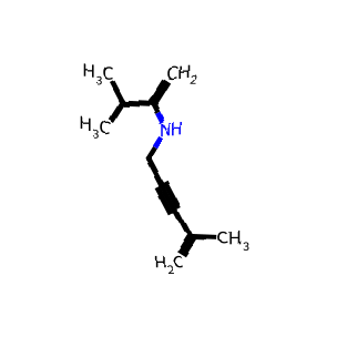 C=C(C)C#CCNC(=C)C(C)C